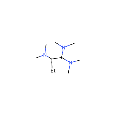 CCC([C](N(C)C)N(C)C)N(C)C